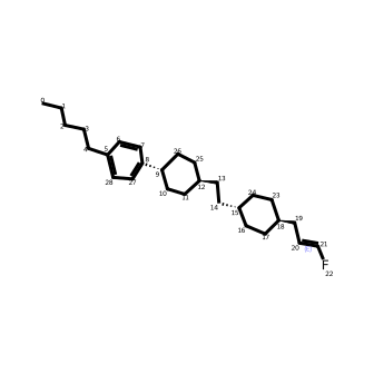 CCCCCc1ccc([C@H]2CC[C@H](CC[C@H]3CC[C@H](C/C=C/F)CC3)CC2)cc1